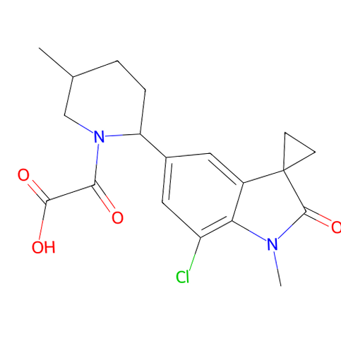 CC1CCC(c2cc(Cl)c3c(c2)C2(CC2)C(=O)N3C)N(C(=O)C(=O)O)C1